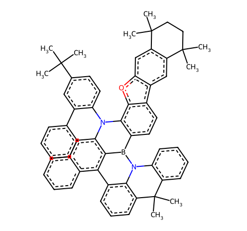 CC(C)(C)c1ccc(N2c3cc4ccccc4c4c3B(c3ccc5c(oc6cc7c(cc65)C(C)(C)CCC7(C)C)c32)N2c3ccccc3C(C)(C)c3cccc-4c32)c(-c2ccccc2)c1